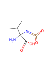 CC(C)C(N)(N=S(=O)=O)C(=O)O